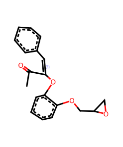 CC(=O)/C(=C\c1ccccc1)Oc1ccccc1OCC1CO1